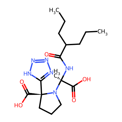 CCCC(CCC)C(=O)N[C@@](C)(C(=O)O)N1CCC[C@]1(C(=O)O)c1nnn[nH]1